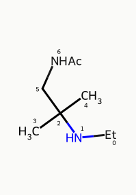 CCNC(C)(C)CNC(C)=O